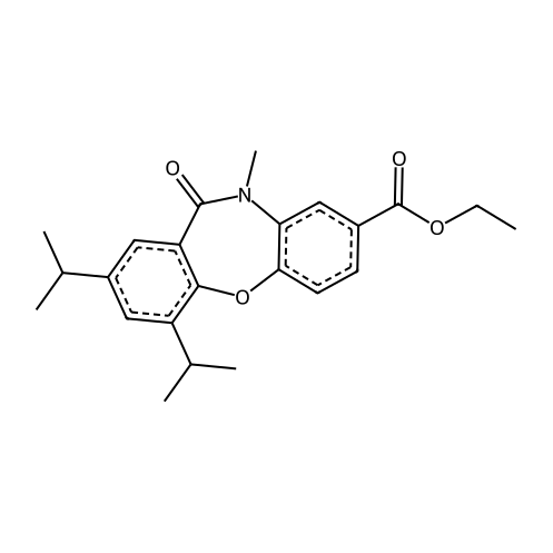 CCOC(=O)c1ccc2c(c1)N(C)C(=O)c1cc(C(C)C)cc(C(C)C)c1O2